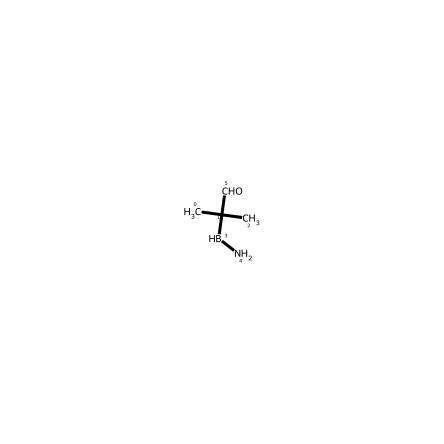 CC(C)(BN)C=O